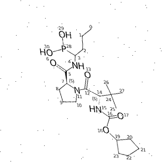 CCCC(NC(=O)[C@@H]1CCCN1C(=O)[C@@H](NC(=O)OC1CCCC1)C(C)(C)C)P(O)O